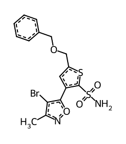 Cc1noc(-c2cc(COCc3ccccc3)sc2S(N)(=O)=O)c1Br